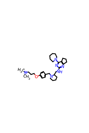 CN(C)CCCOc1ccc(CN2CCCCC2CNc2nc3c(c(N4CCCCCC4)n2)CCC3)cc1